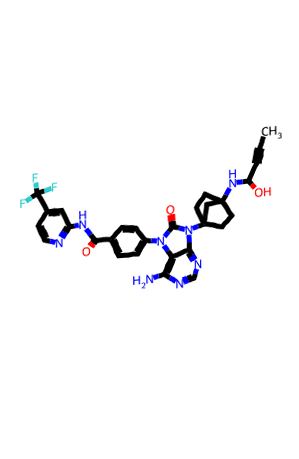 CC#CC(O)NC12CCC(n3c(=O)n(-c4ccc(C(=O)Nc5cc(C(F)(F)F)ccn5)cc4)c4c(N)ncnc43)(CC1)C2